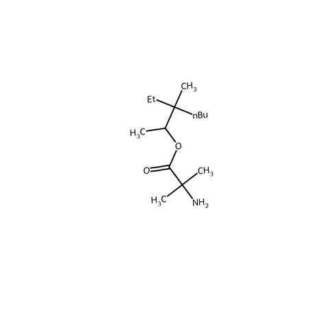 CCCCC(C)(CC)C(C)OC(=O)C(C)(C)N